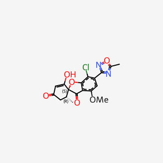 COc1cc(-c2noc(C)n2)c(Cl)c2c1C(=O)[C@@]1(O2)C(O)=CC(=O)C[C@H]1C